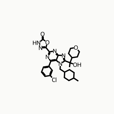 CC1CCC(Cn2c(C(C)(O)C3CCOCC3)nc3nc(-c4n[nH]c(=O)o4)nc(-c4cccc(Cl)c4)c32)CC1